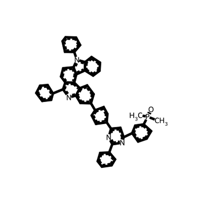 CP(C)(=O)c1cccc(-c2cc(-c3ccc(-c4ccc5c(c4)nc(-c4ccccc4)c4ccc6c(c7ccccc7n6-c6ccccc6)c45)cc3)nc(-c3ccccc3)n2)c1